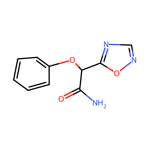 NC(=O)C(Oc1ccccc1)c1ncno1